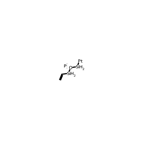 C=C[SiH2]O[SiH2][Pt].[P]